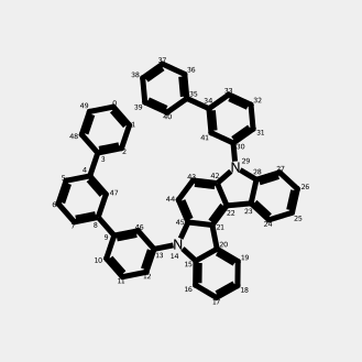 c1ccc(-c2cccc(-c3cccc(-n4c5ccccc5c5c6c7ccccc7n(-c7cccc(-c8ccccc8)c7)c6ccc54)c3)c2)cc1